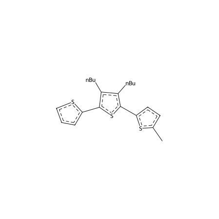 CCCCc1c(-c2cccs2)sc(-c2ccc(C)s2)c1CCCC